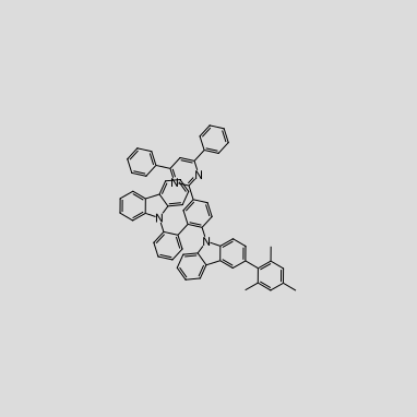 Cc1cc(C)c(-c2ccc3c(c2)c2ccccc2n3-c2ccc(-c3nc(-c4ccccc4)cc(-c4ccccc4)n3)cc2-c2ccccc2-n2c3ccccc3c3ccccc32)c(C)c1